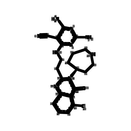 N#Cc1c(N)nc(N)nc1NCCc1nc2cccc(Cl)c2c(=O)n1[C@H]1CCCNCC1